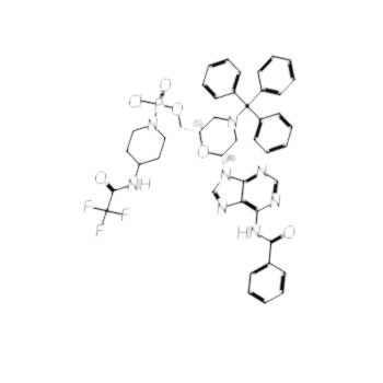 O=C(Nc1ncnc2c1ncn2[C@H]1CN(C(c2ccccc2)(c2ccccc2)c2ccccc2)C[C@@H](COP(=O)(Cl)N2CCC(NC(=O)C(F)(F)F)CC2)O1)c1ccccc1